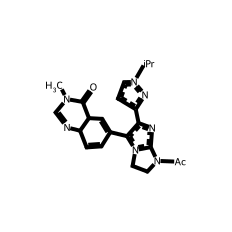 CC(=O)N1CCn2c1nc(-c1ccn(C(C)C)n1)c2C1=CC2C(=O)N(C)C=NC2C=C1